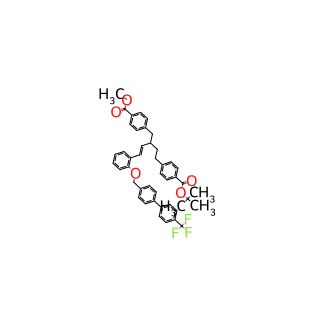 COC(=O)c1ccc(CC(C=Cc2ccccc2OCc2ccc(-c3ccc(C(F)(F)F)cc3)cc2)CCc2ccc(C(=O)OC(C)(C)C)cc2)cc1